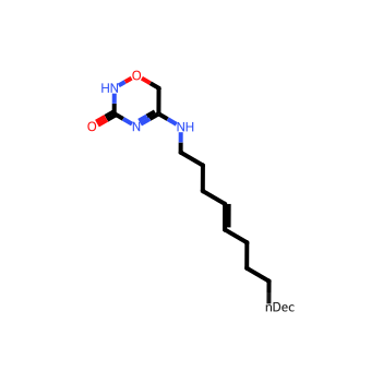 CCCCCCCCCCCCC/C=C/CCCNC1=NC(=O)NOC1